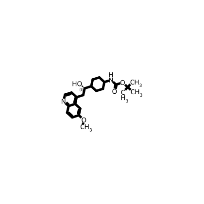 COc1ccc2nccc(C[C@H](O)C3CCC(NC(=O)OC(C)(C)C)CC3)c2c1